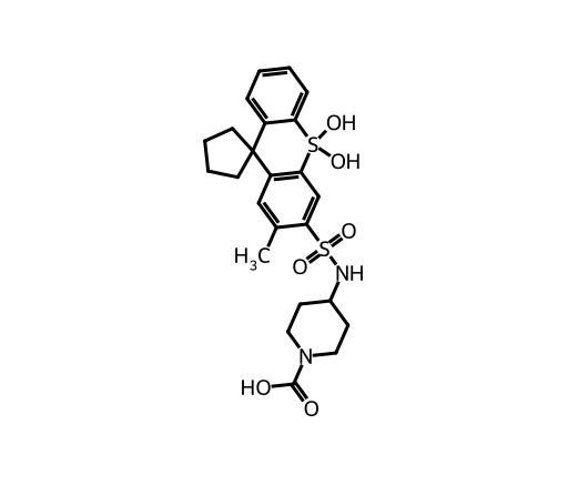 Cc1cc2c(cc1S(=O)(=O)NC1CCN(C(=O)O)CC1)S(O)(O)c1ccccc1C21CCCC1